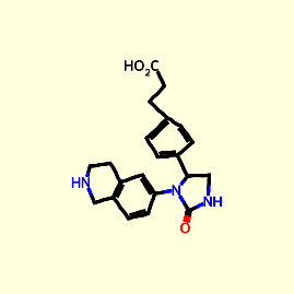 O=C(O)CCc1ccc(C2CNC(=O)N2c2ccc3c(c2)CCNC3)cc1